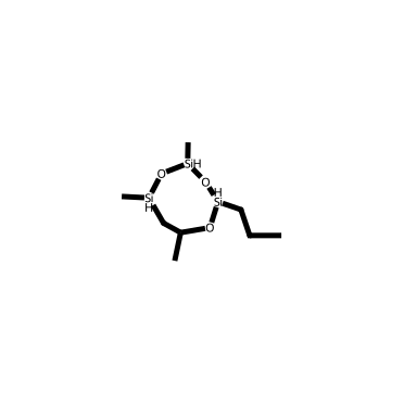 CCC[SiH]1OC(C)C[SiH](C)O[SiH](C)O1